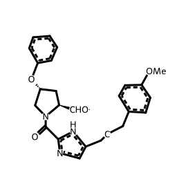 COc1ccc(CCCc2cnc(C(=O)N3C[C@H](Oc4ccccc4)C[C@H]3[C]=O)[nH]2)cc1